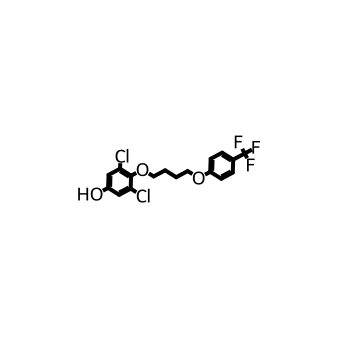 Oc1cc(Cl)c(OCCCCOc2ccc(C(F)(F)F)cc2)c(Cl)c1